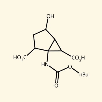 CCCCOC(=O)NC12C(C(=O)O)CC(O)C1C2C(=O)O